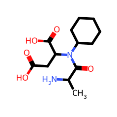 CC(N)C(=O)N(C1CCCCC1)C(CC(=O)O)C(=O)O